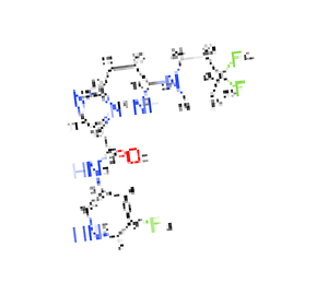 O=C(NC1=CNCC(F)=C1)c1cnc2n1NC(N1CCC(F)(F)CC1)C=C2